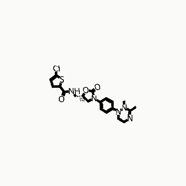 CC1=NCCN(c2ccc(N3C[C@H](CNC(=O)C4CC=C(Cl)S4)OC3=O)cc2)N1C